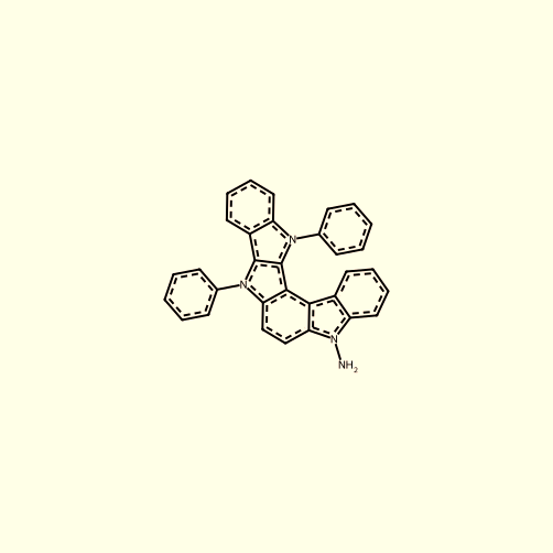 Nn1c2ccccc2c2c3c(ccc21)n(-c1ccccc1)c1c2ccccc2n(-c2ccccc2)c31